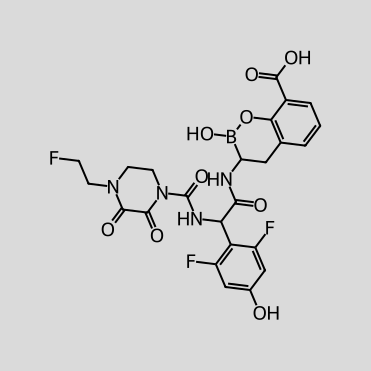 O=C(O)c1cccc2c1OB(O)C(NC(=O)C(NC(=O)N1CCN(CCF)C(=O)C1=O)c1c(F)cc(O)cc1F)C2